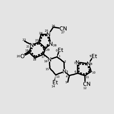 CC[C@H]1CN(C(C)c2nn(CC)cc2C#N)[C@H](CC)CN1c1cc(=O)n(C)c2cn(CC#N)nc12